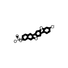 O=[SH](=O)Oc1ccc2cc3c(cc2c1)oc1cc2c(cc13)oc1cc(Cl)ccc12